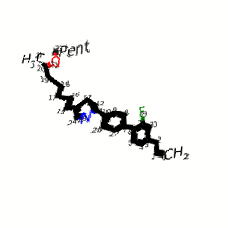 C=CCc1ccc(-c2ccc(-c3ccc(C=CCCCC(C)OCCCCC)cn3)cc2)c(F)c1